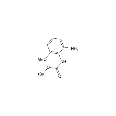 COc1cccc(N)c1NC(=O)OC(C)(C)C